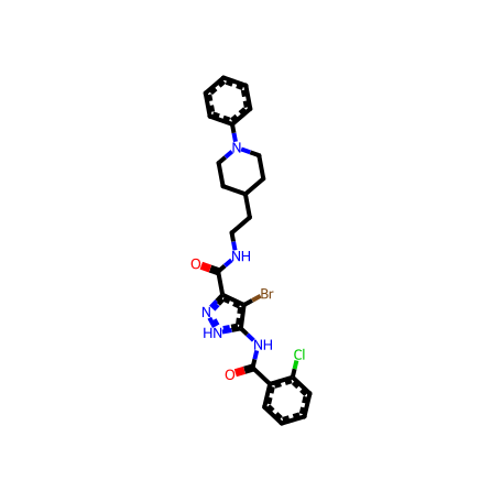 O=C(Nc1[nH]nc(C(=O)NCCC2CCN(c3ccccc3)CC2)c1Br)c1ccccc1Cl